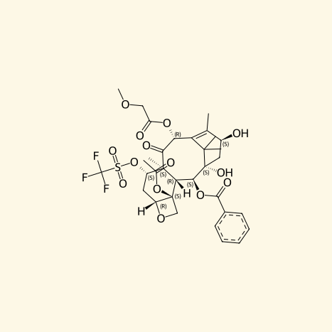 COCC(=O)O[C@H]1C(=O)[C@]2(C)[C@@H](OS(=O)(=O)C(F)(F)F)C[C@H]3OC[C@@]3(OC(C)=O)[C@H]2[C@H](OC(=O)c2ccccc2)[C@]2(O)C[C@H](O)C(C)=C1C2(C)C